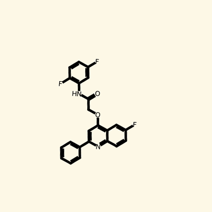 O=C(COc1cc(-c2ccccc2)nc2ccc(F)cc12)Nc1cc(F)ccc1F